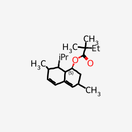 CCC(C)(C)C(=O)O[C@H]1CC(C)C=C2C=CC(C)C(C(C)C)C21